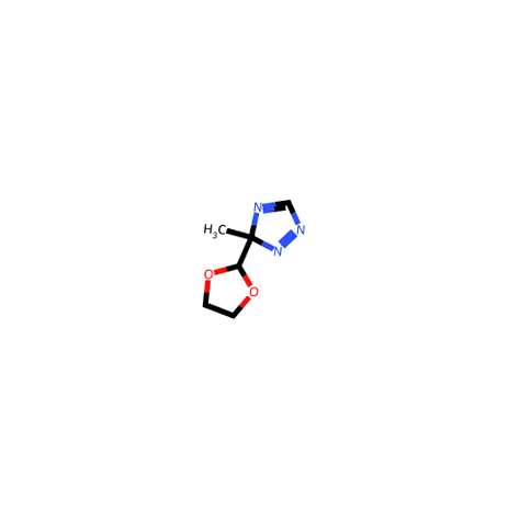 CC1(C2OCCO2)N=CN=N1